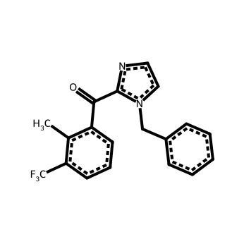 Cc1c(C(=O)c2nccn2Cc2ccccc2)cccc1C(F)(F)F